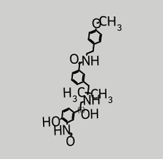 COc1ccc(CCNC(=O)c2cccc(CC(C)(C)NC[C@@H](O)c3ccc(O)c(NC=O)c3)c2)cc1